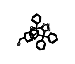 BrCc1ccc2c(c1)OC(c1ccccc1)(c1nnnn1C(c1ccccc1)(c1ccccc1)c1ccccc1)O2